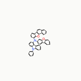 c1ccc(-n2c3ccccc3c3c(N(c4ccc5c(c4)oc4ccccc45)c4cccc5c4oc4c6ccccc6ccc54)cccc32)cc1